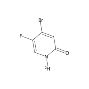 [2H]n1cc(F)c(Br)cc1=O